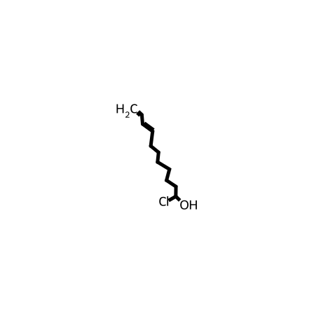 C=CC=CCCCCCCC(O)Cl